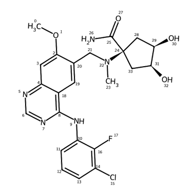 COc1cc2ncnc(Nc3cccc(Cl)c3F)c2cc1CN(C)[C@@]1(C(N)=O)C[C@@H](O)[C@@H](O)C1